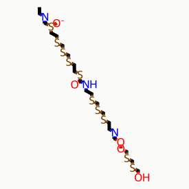 CC/N=C/[S+]([O-])CCSCSCSCCSC(=O)NCCSCSCSCC/N=C/OOCSCSCO